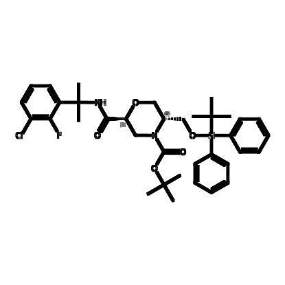 CC(C)(C)OC(=O)N1C[C@@H](C(=O)NC(C)(C)c2cccc(Cl)c2F)OC[C@@H]1CO[Si](c1ccccc1)(c1ccccc1)C(C)(C)C